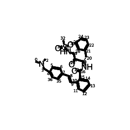 CN(C)Cc1ccc(C=Cc2ccccc2C(=O)N[C@@H](Cc2ccccc2)C(=O)CNS(C)(=O)=O)cc1